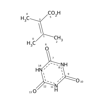 CC(C)=C(C)C(=O)O.O=c1[nH]c(=O)[nH]c(=O)[nH]1